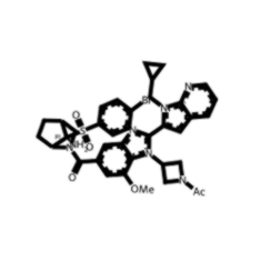 COc1cc(C(=O)N2CC3CCC2[C@]3(N)S(=O)(=O)c2ccc(Br)cc2)cc2nc(-c3cc4cccnc4n3CC3CC3)n(C3CN(C(C)=O)C3)c12